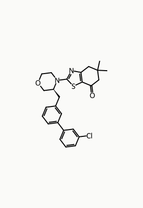 CC1(C)CC(=O)c2sc(N3CCOC[C@@H]3Cc3cccc(-c4cccc(Cl)c4)c3)nc2C1